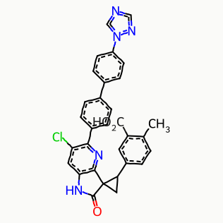 Cc1ccc(C2CC23C(=O)Nc2cc(Cl)c(-c4ccc(-c5ccc(-n6cncn6)cc5)cc4)nc23)cc1C(=O)O